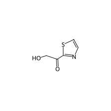 O=C(CO)c1nccs1